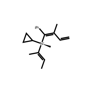 C=C/C(C)=C(/C(C)C)[N@+](C)(/C(C)=C/C)C1CC1